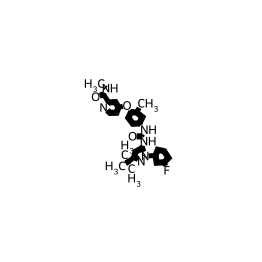 CNC(=O)c1cc(Oc2ccc(NC(=O)Nc3cc(C(C)(C)C)nn3-c3cccc(F)c3)cc2C)ccn1